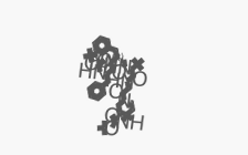 CC1(NC(=O)OC(C)(C)C)CCN(C(=O)CNC(=O)C(NC[C@@H](Cc2ccccc2)NC(=O)C(Cc2ccccc2)NC(=O)OC(C)(C)C)C(C)(C)C)CC1